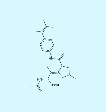 C=C(C)NC(/C(C)=C1\CC(C)CC1C(=C)Nc1ccc(C(C)=C(C)C)cc1)C(C)CCC